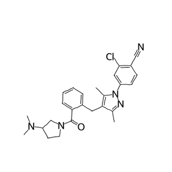 Cc1nn(-c2ccc(C#N)c(Cl)c2)c(C)c1Cc1ccccc1C(=O)N1CCC(N(C)C)C1